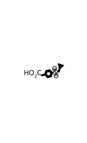 O=C(O)Cc1ccc(S(=O)(=O)CC2CC2)cc1